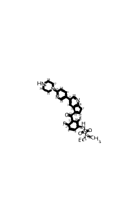 CCN(C)S(=O)(=O)Nc1ccc(F)c(C(=O)C2=CCc3ncc(-c4ccc(N5CCNCC5)nc4)cc32)c1F